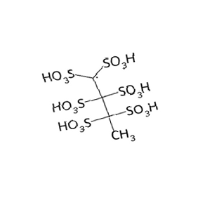 CC(C([C](S(=O)(=O)O)S(=O)(=O)O)(S(=O)(=O)O)S(=O)(=O)O)(S(=O)(=O)O)S(=O)(=O)O